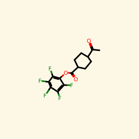 CC(=O)C1CCC(C(=O)Oc2c(F)c(F)c(F)c(F)c2F)CC1